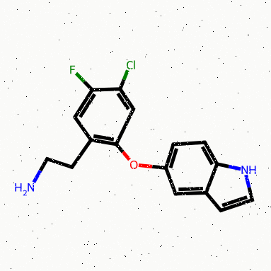 NCCc1cc(F)c(Cl)cc1Oc1ccc2[nH]ccc2c1